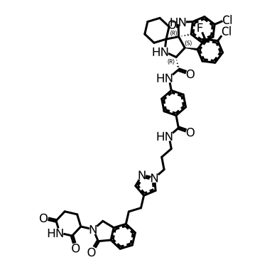 O=C1CCC(N2Cc3c(CCc4cnn(CCCNC(=O)c5ccc(NC(=O)[C@@H]6NC7(CCCCC7)[C@@]7(C(=O)Nc8cc(Cl)ccc87)[C@H]6c6cccc(Cl)c6F)cc5)c4)cccc3C2=O)C(=O)N1